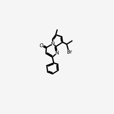 Cc1cc(C(C)Br)c2nc(-c3ccccc3)cc(=O)n2c1